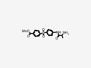 COC(=O)c1ccc(S(=O)(=O)c2ccc(NC(=O)C(C)N)cc2)cc1